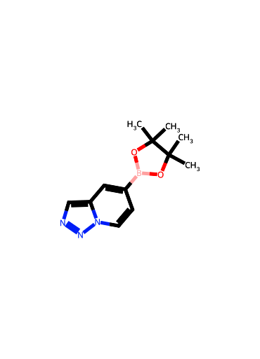 CC1(C)OB(c2ccn3nncc3c2)OC1(C)C